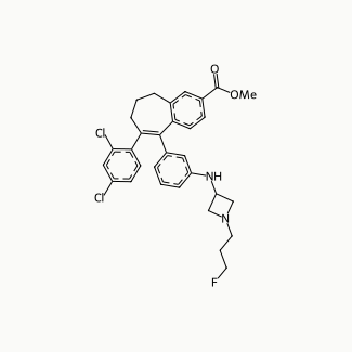 COC(=O)c1ccc2c(c1)CCCC(c1ccc(Cl)cc1Cl)=C2c1cccc(NC2CN(CCCF)C2)c1